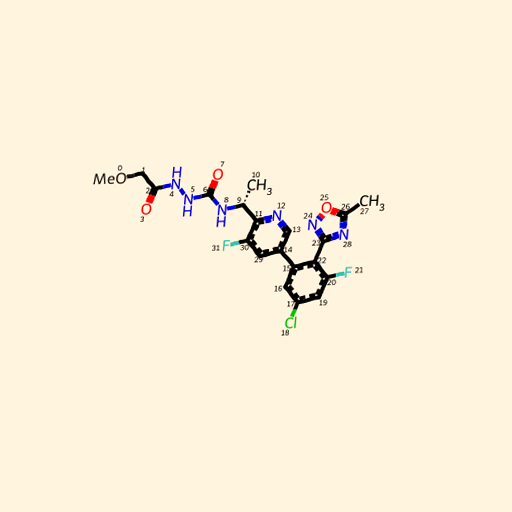 COCC(=O)NNC(=O)N[C@H](C)c1ncc(-c2cc(Cl)cc(F)c2-c2noc(C)n2)cc1F